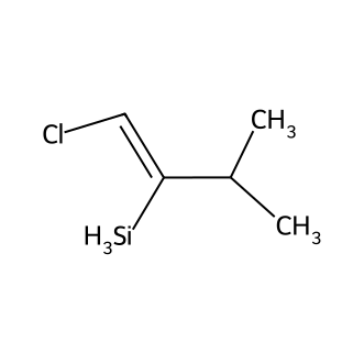 CC(C)C([SiH3])=CCl